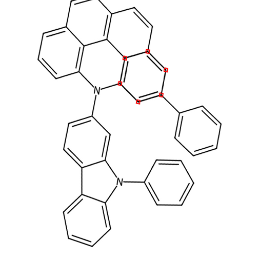 c1ccc(-c2cccc(N(c3ccc4c5ccccc5n(-c5ccccc5)c4c3)c3cccc4ccc5ccc6ccccc6c5c34)c2)cc1